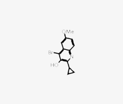 COc1ccc2nc(C3CC3)c(O)c(Br)c2c1